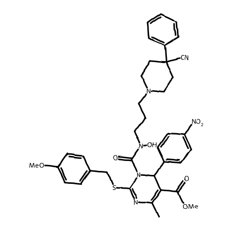 COC(=O)C1=C(C)N=C(SCc2ccc(OC)cc2)N(C(=O)N(O)CCCN2CCC(C#N)(c3ccccc3)CC2)C1c1ccc([N+](=O)[O-])cc1